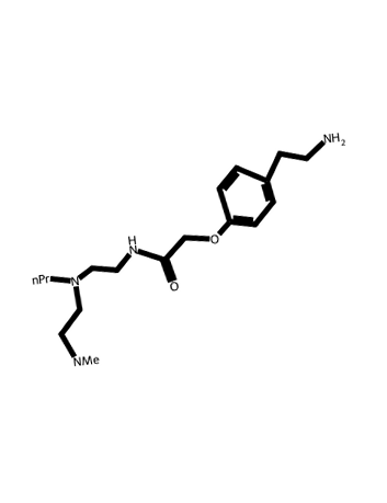 CCCN(CCNC)CCNC(=O)COc1ccc(CCN)cc1